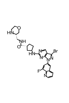 O=C(NC[C@H]1COCCN1)[C@@H]1CC[C@@H](Nc2ncc3c(Br)nn(-c4cc(F)c5ncccc5c4)c3n2)C1